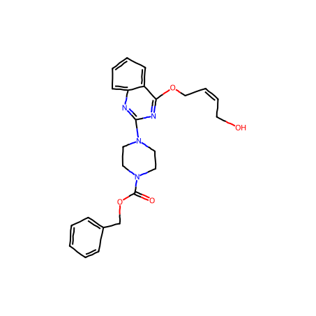 O=C(OCc1ccccc1)N1CCN(c2nc(OC/C=C\CO)c3ccccc3n2)CC1